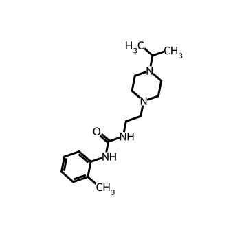 Cc1ccccc1NC(=O)NCCN1CCN(C(C)C)CC1